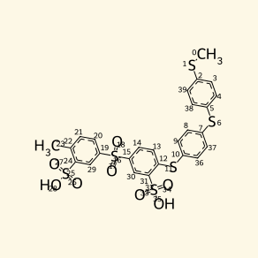 CSc1ccc(Sc2ccc(Sc3ccc(S(=O)(=O)c4ccc(C)c(S(=O)(=O)O)c4)cc3S(=O)(=O)O)cc2)cc1